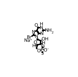 Nc1nc2c(nc(Br)n2[C@@H]2O[C@@H]3COP([O-])(=S)O[C@H]3[C@H]2O)c(=O)[nH]1.[Na+]